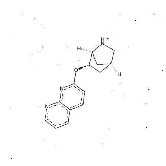 c1cnc2nc(O[C@@H]3C[C@@H]4CN[C@H]3C4)ccc2c1